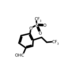 O=Cc1ccc(OS(=O)(=O)C(F)(F)F)c(CCC(F)(F)F)c1